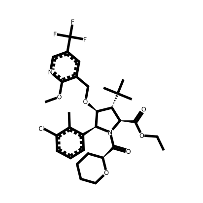 CCOC(=O)[C@@H]1[C@@H](C(C)(C)C)[C@H](OCc2cc(C(F)(F)F)cnc2OC)[C@H](c2cccc(Cl)c2C)N1C(=O)[C@@H]1CCCCO1